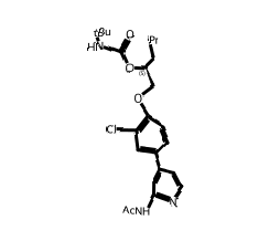 CC(=O)Nc1cc(-c2ccc(OC[C@H](CC(C)C)OC(=O)NC(C)(C)C)c(Cl)c2)ccn1